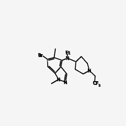 CCN(c1c(C)c(Br)cc2c1cnn2C)C1CCN(CC(F)(F)F)CC1